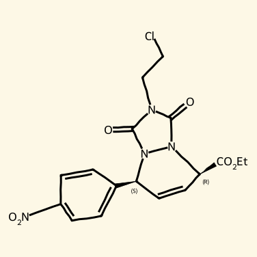 CCOC(=O)[C@H]1C=C[C@@H](c2ccc([N+](=O)[O-])cc2)n2c(=O)n(CCCl)c(=O)n21